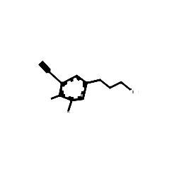 C#Cc1cc(CCCC(C)C)cc(Cl)c1F